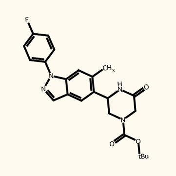 Cc1cc2c(cnn2-c2ccc(F)cc2)cc1C1CN(C(=O)OC(C)(C)C)CC(=O)N1